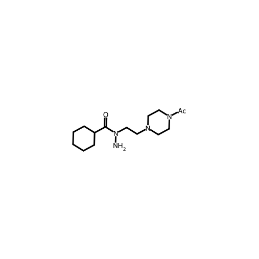 CC(=O)N1CCN(CCN(N)C(=O)C2CCCCC2)CC1